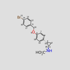 O=C(O)N[C@@H]1C[C@H]1c1ccc(OCc2ccc(Br)cc2)cc1